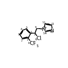 FC(F)(F)c1ccccc1C(Cl)Cn1ccnc1